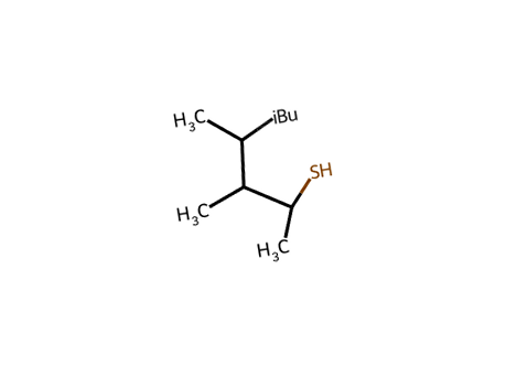 CCC(C)C(C)C(C)C(C)S